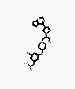 CN(C)Cc1cc(F)cc(OC2CCN(CC(CC#N)n3cc(-c4ncnc5c4C=CC5)cn3)CC2)c1